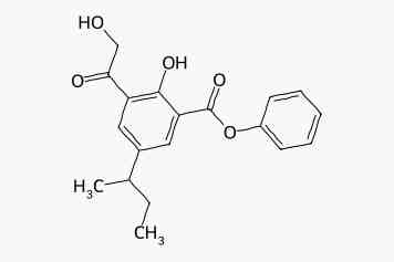 CCC(C)c1cc(C(=O)CO)c(O)c(C(=O)Oc2ccccc2)c1